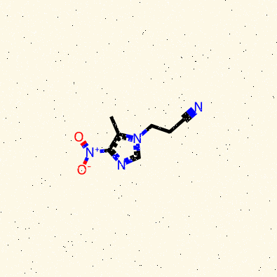 Cc1c([N+](=O)[O-])ncn1CCC#N